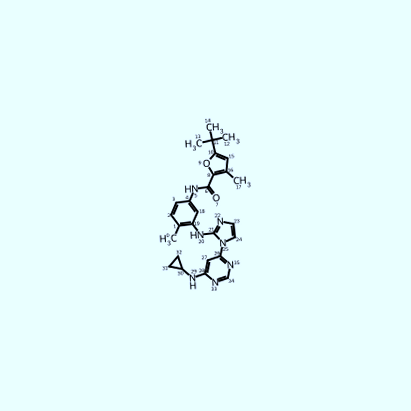 Cc1ccc(NC(=O)c2oc(C(C)(C)C)cc2C)cc1Nc1nccn1-c1cc(NC2CC2)ncn1